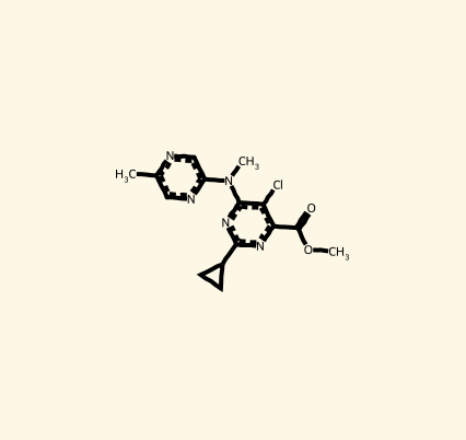 COC(=O)c1nc(C2CC2)nc(N(C)c2cnc(C)cn2)c1Cl